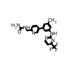 Cc1cc(Nc2nccc(C(F)(F)F)n2)cc(-c2ccc(CNC(N)=O)nc2)c1